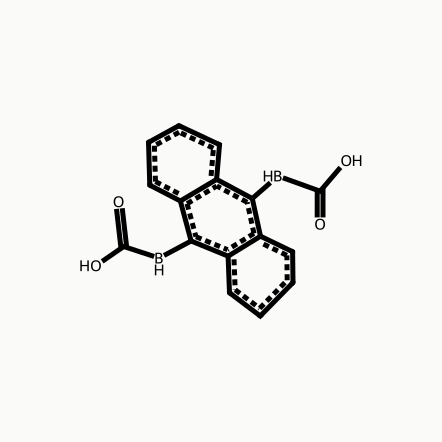 O=C(O)Bc1c2ccccc2c(BC(=O)O)c2ccccc12